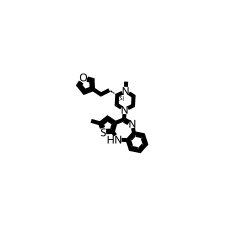 Cc1cc2c(s1)Nc1ccccc1N=C2N1CCN(C)[C@@H](CCc2ccoc2)C1